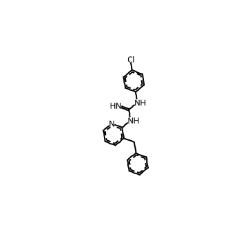 N=C(Nc1ccc(Cl)cc1)Nc1ncccc1Cc1ccccc1